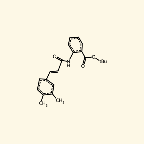 Cc1ccc(/C=C/C(=O)Nc2ccccc2C(=O)OC(C)(C)C)cc1C